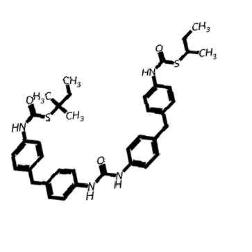 CCC(C)SC(=O)Nc1ccc(Cc2ccc(NC(=O)Nc3ccc(Cc4ccc(NC(=O)SC(C)(C)CC)cc4)cc3)cc2)cc1